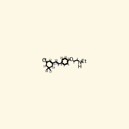 CCNCCOc1ccc(/C=C/C2=CC(=O)CC(C)(C)C2)cc1